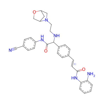 N#Cc1ccc(NC(=O)C(NCCN2CC3CC2CO3)c2ccc(/C=C/C(=O)Nc3ccccc3N)cc2)cc1